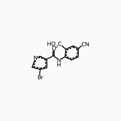 N#Cc1ccc(NC(=O)c2cncc(Br)c2)c(C(=O)O)c1